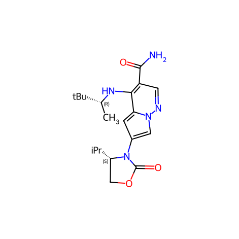 CC(C)[C@H]1COC(=O)N1c1cc2c(N[C@H](C)C(C)(C)C)c(C(N)=O)cnn2c1